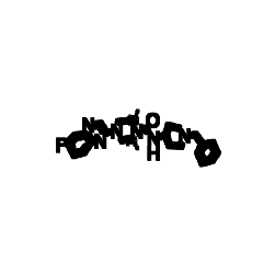 C[C@@H]1CN(c2cnc3cc(F)ccc3n2)C[C@H](C)N1C(=O)NC1CCN(Cc2ccccc2)CC1